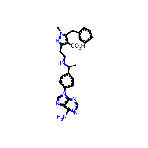 C[C@H](NCCc1nn(C)c(Cc2ccccc2)c1C(=O)O)c1ccc(-n2cnc3c(N)ncnc32)cc1